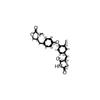 CN1C(=O)OCC1Cc1ccc(Oc2ccc(C=C3SC(=O)NC3=O)cc2F)cc1